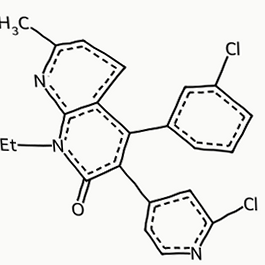 CCn1c(=O)c(-c2ccnc(Cl)c2)c(-c2cccc(Cl)c2)c2ccc(C)nc21